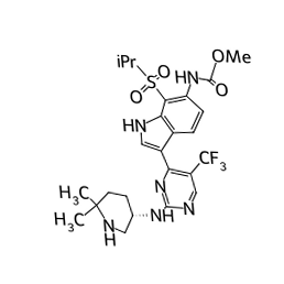 COC(=O)Nc1ccc2c(-c3nc(N[C@H]4CCC(C)(C)NC4)ncc3C(F)(F)F)c[nH]c2c1S(=O)(=O)C(C)C